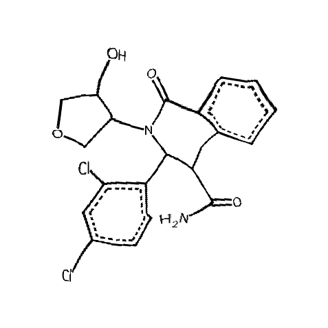 NC(=O)C1c2ccccc2C(=O)N(C2COCC2O)C1c1ccc(Cl)cc1Cl